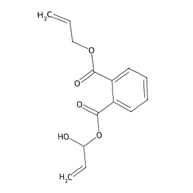 C=CCOC(=O)c1ccccc1C(=O)OC(O)C=C